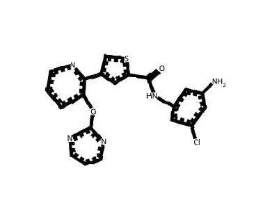 Nc1cc(Cl)cc(NC(=O)c2cc(-c3ncccc3Oc3ncccn3)cs2)c1